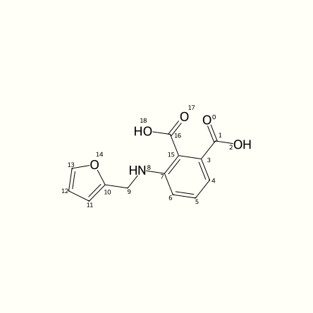 O=C(O)c1cccc(NCc2ccco2)c1C(=O)O